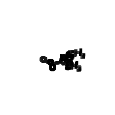 COc1cc(C#CC(=O)OCc2ccccc2)cnc1OC